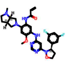 C=CC(=O)Nc1cc(Nc2cc(N3OCC[C@@H]3c3cc(F)cc(F)c3)ncn2)c(OC)cc1N1C[C@@H]2CCN(C)[C@@H]2C1